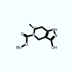 C[C@H]1Cc2[nH]nc(O)c2CN1C(=O)OC(C)(C)C